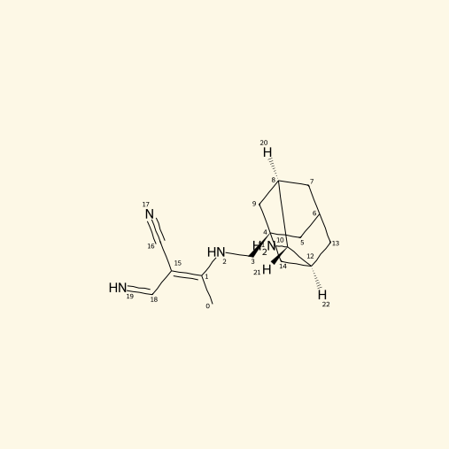 C/C(NC[C@]12CC3C[C@H](C1)[C@@H](N)[C@@H](C3)C2)=C(/C#N)C=N